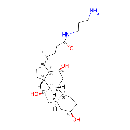 C[C@H](CCC(=O)NCCCN)[C@H]1CC[C@H]2[C@@H]3[C@H](O)C[C@@H]4C[C@H](O)CC[C@]4(C)[C@H]3C[C@H](O)[C@]12C